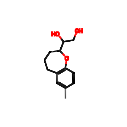 Cc1ccc2c(c1)CCCC(C(O)CO)O2